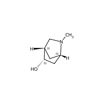 CN1C[C@@H]2C[C@H]1C[C@@H]2O